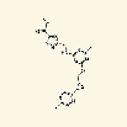 COC(=O)c1nnc(CNc2cc(OC[C@H]3CC3c3ccc(C)cn3)nc(C)n2)s1